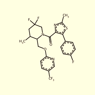 Cc1nc(C(=O)N2CC(F)(F)CC(C)C2COc2ccc(C(F)(F)F)cn2)c(-c2ccc(F)cc2)s1